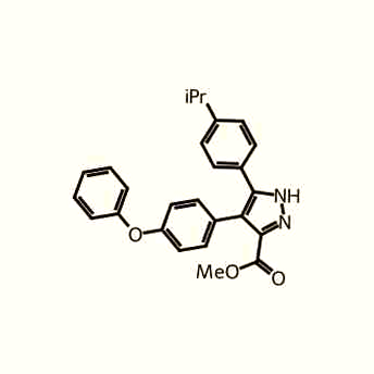 COC(=O)c1n[nH]c(-c2ccc(C(C)C)cc2)c1-c1ccc(Oc2ccccc2)cc1